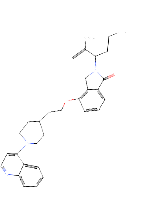 C=C(NC)C(CCC=O)N1Cc2c(OCCC3CCN(c4ccnc5ccccc45)CC3)cccc2C1=O